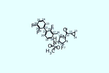 CS(=O)(=O)N[C@H]1[C@@H](F)CN(C(=O)C2CC2)[C@H]1Cc1cccc(-c2cccc(F)c2F)c1F